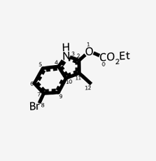 CCOC(=O)Oc1[nH]c2ccc(Br)cc2c1C